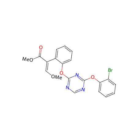 CO/C=C(/C(=O)OC)c1ccccc1Oc1ncnc(Oc2ccccc2Br)n1